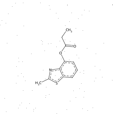 CCC(=O)Oc1cccc2sc(C)nc12